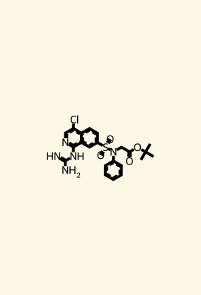 CC(C)(C)OC(=O)CN(c1ccccc1)S(=O)(=O)c1ccc2c(Cl)cnc(NC(=N)N)c2c1